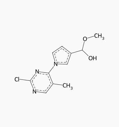 COC(O)c1ccn(-c2nc(Cl)ncc2C)c1